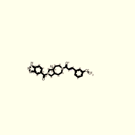 O=C(/C=C/c1cccc(OC(F)(F)F)c1)N1CCC2CN(C(=O)c3ccc4[nH]nnc4c3)C[C@H]2CC1